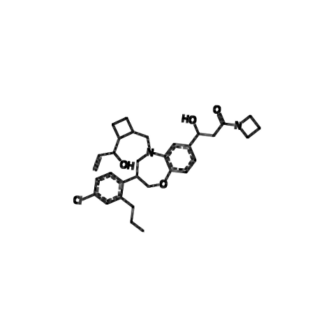 C=CC(O)C1CCC1CN1CC(c2ccc(Cl)cc2CCC)COc2ccc(C(O)CC(=O)N3CCC3)cc21